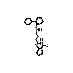 O=c1[nH]c(CCCNCc2ccccc2-c2ccccc2)nc2ccccc12